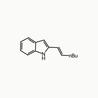 CCCC/C=C/c1cc2ccccc2[nH]1